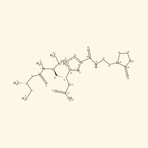 CC[C@H](C)CC(=O)N(C)[C@H](C[C@@H](OC(C)=O)c1nc(C(=O)NCCN2CCOC2=O)cs1)C(C)C